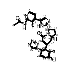 CC(=O)Nc1nccc(-c2cnc([C@@H]3CC[C@@H]4CC(c5c(-n6cnnn6)ccc(Cl)c5F)=CC(=O)N43)[nH]2)c1F